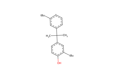 CC(C)(C)c1[c]ccc(C(C)(C)c2ccc(O)c(C(C)(C)C)c2)c1